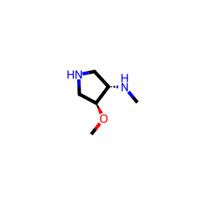 CN[C@H]1CNC[C@@H]1OC